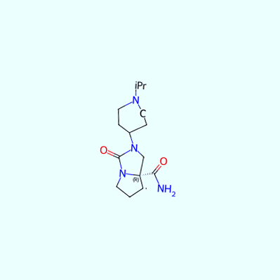 CC(C)N1CCC(N2C[C@@]3(C(N)=O)[CH]CCN3C2=O)CC1